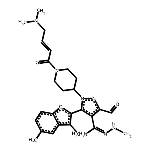 CN/N=C(/N)c1c(C=O)nn(C2CCN(C(=O)/C=C/CN(C)C)CC2)c1-c1oc2ccc(C)cc2c1C